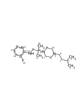 CC(C)CCN1CCN(C(C)(C)CNc2ncccc2F)CC1